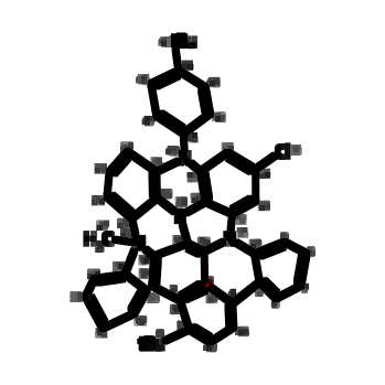 CC(C)(C)c1ccc(-c2ccccc2N2c3cc(Cl)cc4c3B3c5c(cccc5[Si](C)(c5ccccc5)c5cccc2c53)N4c2ccc(C(C)(C)C)cc2)cc1